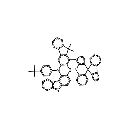 CC(C)(C)c1ccc(N2c3cc4c(c5c3B(c3ccc6sc7ccccc7c6c32)N2c3ccccc3C3(c6ccccc6-c6ccccc63)c3cccc-5c32)C(C)(C)c2ccccc2-4)cc1